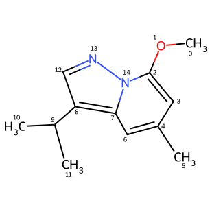 COc1cc(C)cc2c(C(C)C)cnn12